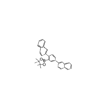 CC1(C)OB(c2cc(-c3ccc4ccccc4c3)ccc2-c2ccc3ccccc3c2)OC1(C)C